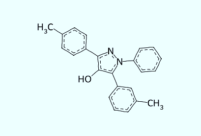 Cc1ccc(-c2nn(-c3ccccc3)c(-c3cccc(C)c3)c2O)cc1